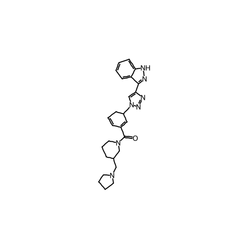 O=C(C1=CC(n2cc(-c3n[nH]c4ccccc34)nn2)CC=C1)N1CCCC(CN2CCCC2)C1